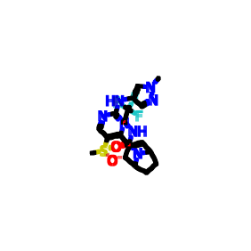 Cn1cc(Nc2ncc([S+](C)[O-])c(C3=CC4CCC(C3)N4C(=O)NCC(F)(F)F)n2)cn1